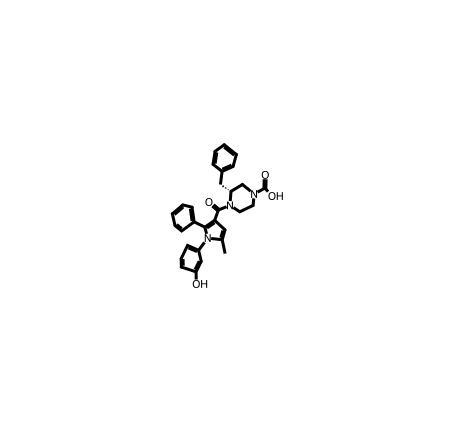 Cc1cc(C(=O)N2CCN(C(=O)O)C[C@H]2Cc2ccccc2)c(-c2ccccc2)n1-c1cccc(O)c1